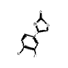 O=C1N[C@@H](c2ccc(Cl)c(Cl)c2)CO1